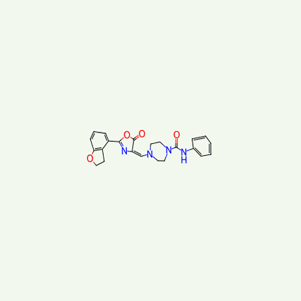 O=C1OC(c2cccc3c2CCO3)=N/C1=C/N1CCN(C(=O)Nc2ccccc2)CC1